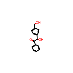 O=C(c1ccccc1)C(O)c1ccc(CO)cc1